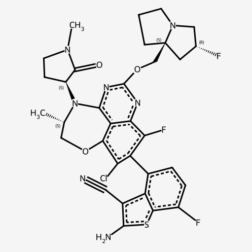 C[C@H]1COc2c(Cl)c(-c3ccc(F)c4sc(N)c(C#N)c34)c(F)c3nc(OC[C@@]45CCCN4C[C@H](F)C5)nc(c23)N1[C@H]1CCN(C)C1=O